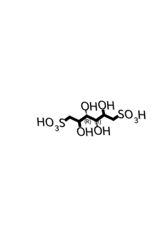 O=S(=O)(O)CC(O)[C@H](O)[C@@H](O)C(O)CS(=O)(=O)O